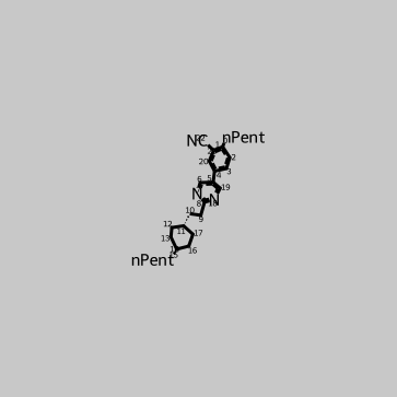 CCCCCc1ccc(-c2cnc(CC[C@H]3CC[C@H](CCCCC)CC3)nc2)cc1C#N